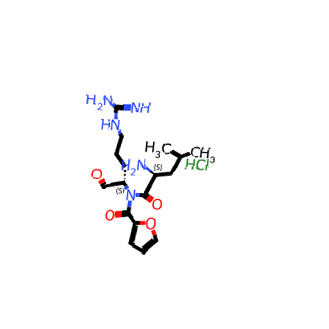 CC(C)C[C@H](N)C(=O)N(C(=O)c1ccco1)[C@H](C=O)CCCNC(=N)N.Cl